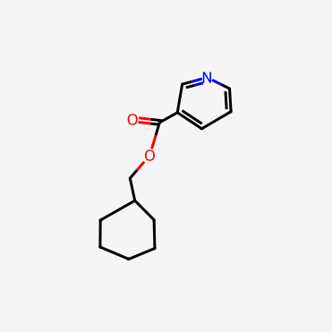 O=C(OCC1CCCCC1)c1cccnc1